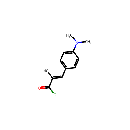 CN(C)c1ccc(/C=C(\C#N)C(=O)Cl)cc1